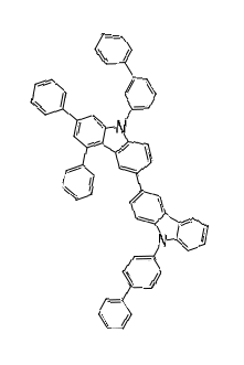 c1ccc(-c2ccc(-n3c4ccccc4c4cc(-c5ccc6c(c5)c5c(-c7ccccc7)cc(-c7ccccc7)cc5n6-c5cccc(-c6ccccc6)c5)ccc43)cc2)cc1